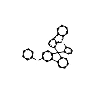 c1ccc(Nc2ccc3c(c2)-c2ccccc2C32c3ccccc3-n3c4ccccc4c4cccc2c43)cc1